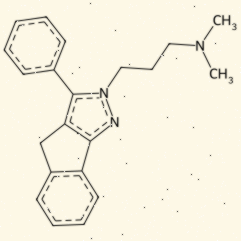 CN(C)CCCn1nc2c(c1-c1ccccc1)Cc1ccccc1-2